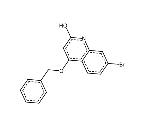 Oc1cc(OCc2ccccc2)c2ccc(Br)cc2n1